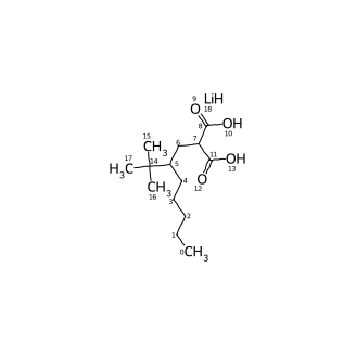 CCCCCC(CC(C(=O)O)C(=O)O)C(C)(C)C.[LiH]